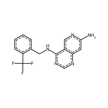 Nc1cc2ncnc(NCc3ccccc3C(F)(F)F)c2cn1